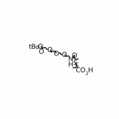 CC(SSC(C)C(=O)NCCOCCOCCOCCC(=O)OC(C)(C)C)C(=O)O